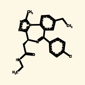 CCNC(=O)C[C@@H]1N=C(c2ccc(Cl)cc2)c2cc(CC)ccc2-n2c(C)nnc21